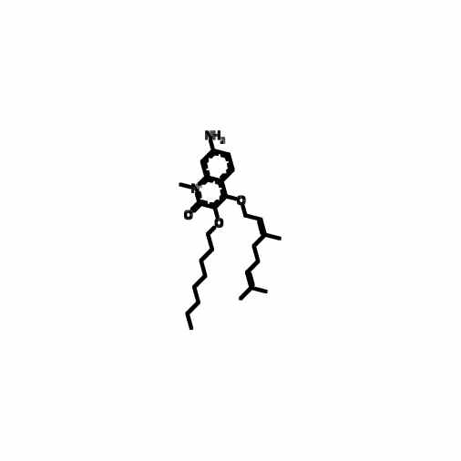 CCCCCCCCOc1c(OCC=C(C)CCC=C(C)C)c2ccc(N)cc2n(C)c1=O